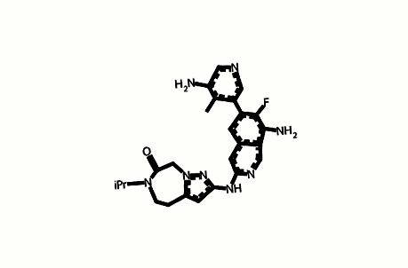 Cc1c(N)cncc1-c1cc2cc(Nc3cc4n(n3)CC(=O)N(C(C)C)CC4)ncc2c(N)c1F